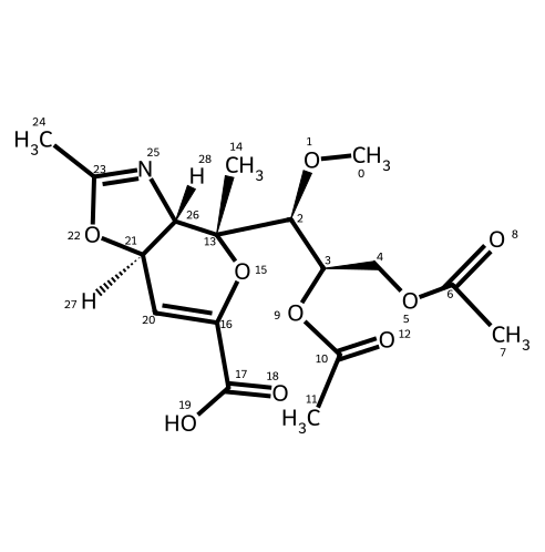 CO[C@@H]([C@@H](COC(C)=O)OC(C)=O)[C@]1(C)OC(C(=O)O)=C[C@H]2OC(C)=N[C@@H]21